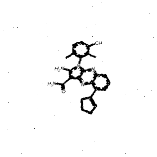 Cc1ccc(O)c(C)c1-n1c(N)c(C(N)=O)c2nc3c(C4=CCCC4)cccc3nc21